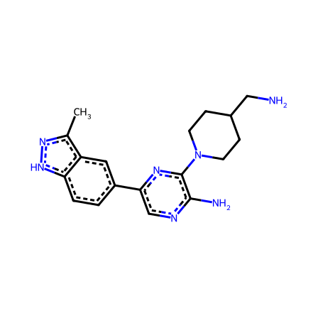 Cc1n[nH]c2ccc(-c3cnc(N)c(N4CCC(CN)CC4)n3)cc12